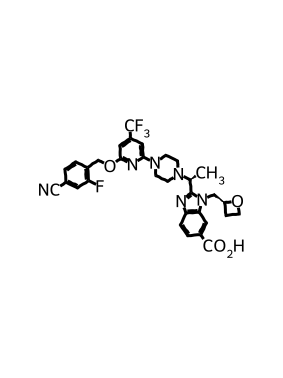 C[C@@H](c1nc2ccc(C(=O)O)cc2n1C[C@@H]1CCO1)N1CCN(c2cc(C(F)(F)F)cc(OCc3ccc(C#N)cc3F)n2)CC1